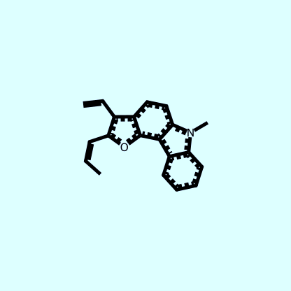 C=Cc1c(/C=C\C)oc2c1ccc1c2c2ccccc2n1C